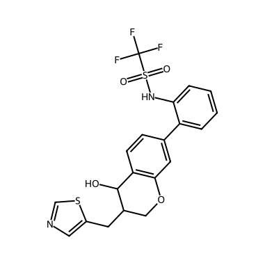 O=S(=O)(Nc1ccccc1-c1ccc2c(c1)OCC(Cc1cncs1)C2O)C(F)(F)F